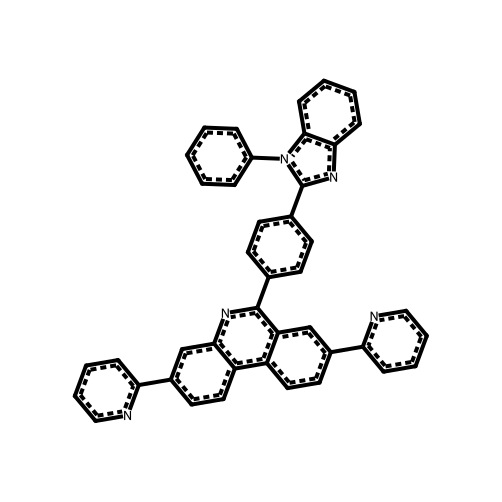 c1ccc(-n2c(-c3ccc(-c4nc5cc(-c6ccccn6)ccc5c5ccc(-c6ccccn6)cc45)cc3)nc3ccccc32)cc1